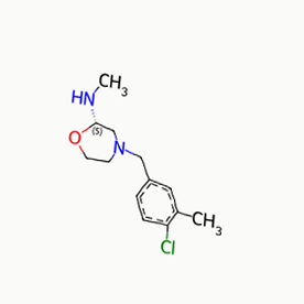 CN[C@@H]1CN(Cc2ccc(Cl)c(C)c2)CCO1